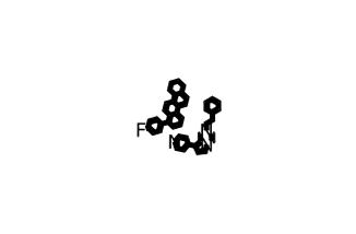 C1=Cn2ccc(-c3ccncc3)c2CN1CCc1ccccc1.Fc1ccc(-c2cccc3c2ccc2c4c(ccc23)CCCC4)cc1